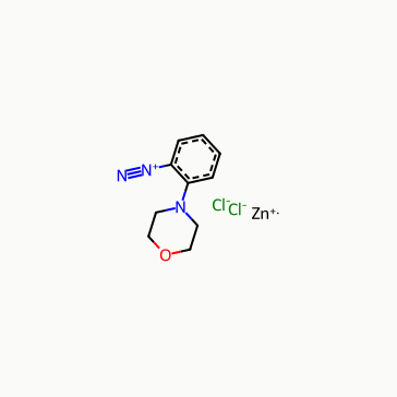 N#[N+]c1ccccc1N1CCOCC1.[Cl-].[Cl-].[Zn+]